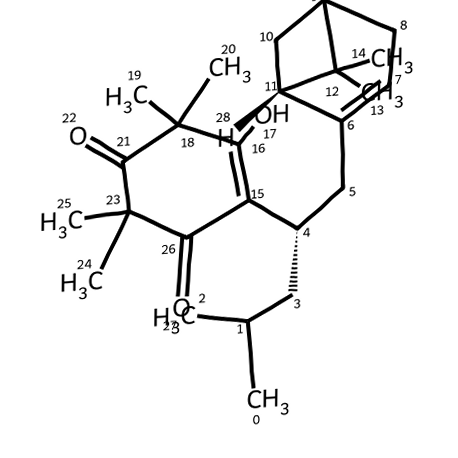 CC(C)C[C@@H](CC1=CCC2C[C@@H]1C2(C)C)C1=C(O)C(C)(C)C(=O)C(C)(C)C1=O